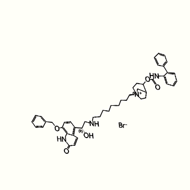 O=C(Nc1ccccc1-c1ccccc1)OC1CC[N@@+]2(CCCCCCCCCNC[C@H](O)c3ccc(OCc4ccccc4)c4[nH]c(=O)ccc34)CCC1C2.[Br-]